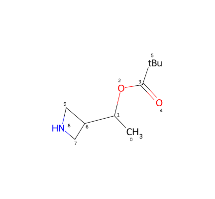 CC(OC(=O)C(C)(C)C)C1CNC1